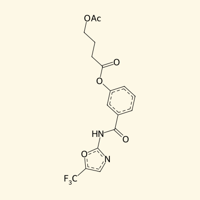 CC(=O)OCCCC(=O)Oc1cccc(C(=O)Nc2ncc(C(F)(F)F)o2)c1